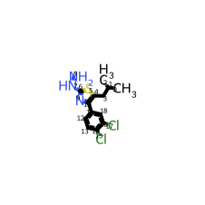 CC(C)Cc1sc(NN)nc1-c1ccc(Cl)c(Cl)c1